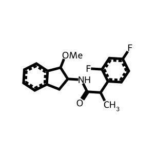 COC1c2ccccc2CC1NC(=O)C(C)c1ccc(F)cc1F